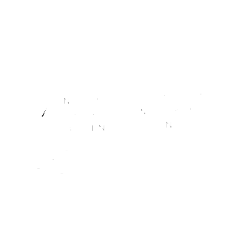 Cc1cc(NC(=O)C(=O)N2C[C@@H](C)CC[C@@H]2c2cccc(C(F)(F)F)c2)cnc1NC(=O)OC(C)(C)C